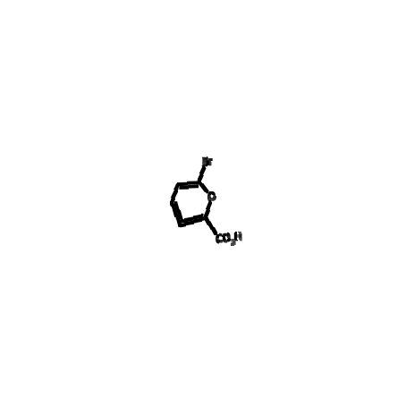 O=C(O)C1=C=CC=C(Br)O1